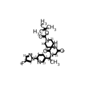 C[C@@H](c1ccc(-n2cc(F)cn2)nc1)N1CC(=O)NC2(CCN(C(=O)OC(C)(C)C)CC2)C1=O